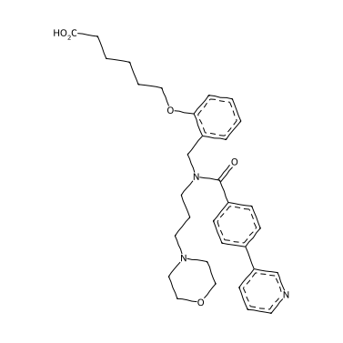 O=C(O)CCCCCOc1ccccc1CN(CCCN1CCOCC1)C(=O)c1ccc(-c2cccnc2)cc1